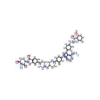 COc1ccc(F)cc1C(=O)NCc1ccc(-c2nn(-c3ccc(N4CCC(CN5CCN(c6ccc7c(c6)CN(C6CCC(=O)NC6=O)C7=O)CC5)CC4)c(F)c3)c3ncnc(N)c23)cc1